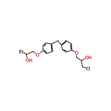 CCC(O)COc1ccc(Cc2ccc(OCC(O)CCl)cc2)cc1